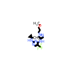 COCCCn1cc(Nc2nc(NC3(C)CC3)ncc2C(F)(F)F)cn1